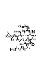 O=C(Nc1ccccc1Nc1nc(Nc2ccc(C(=O)N3CCN(CCO)CC3)cc2)ncc1I)C1CC1